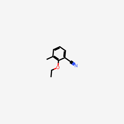 CCOc1c(C)cccc1C#N